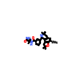 CSc1cc2c(c3c1OC(C)(C)C3)C(c1cccc(C(=O)NC(C)(C)C(N)=O)c1)=NC(C)(C)C2